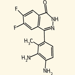 Cc1c(-c2n[nH]c(=O)c3cc(F)c(F)cc23)ccc(N)c1N